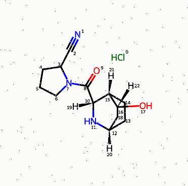 Cl.N#CC1CCCN1C(=O)[C@H]1N[C@H]2CC[C@@H]1[C@H](O)C2